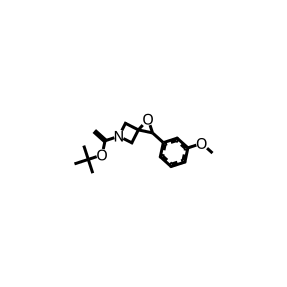 C=C(OC(C)(C)C)N1CC2(C1)OC2c1cccc(OC)c1